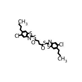 CCCCc1cc2sc(SC(=O)CCC(=O)Sc3nc4cc(Cl)c(CCCC)cc4s3)nc2cc1Cl